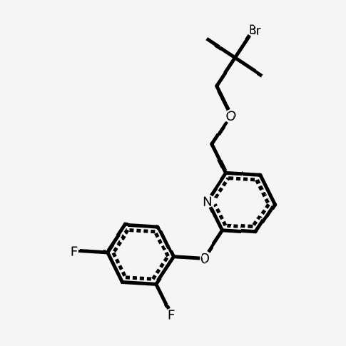 CC(C)(Br)COCc1cccc(Oc2ccc(F)cc2F)n1